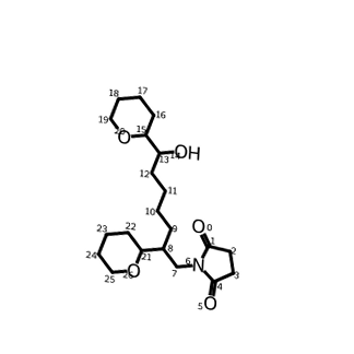 O=C1CCC(=O)N1CC(CCCCC(O)C1CCCCO1)C1CCCCO1